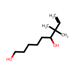 C=CC(C)(C)C(O)CCCCCO